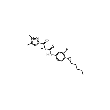 CCCCCOc1ccc(NC(=S)NC(=O)c2cc(C)n(C)n2)cc1F